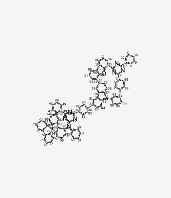 c1ccc(-c2nc(-c3ccccc3)nc(-c3cccc4c3oc3c(-c5ccc6c(c5)c5cc(-c7ccc(-c8nc(-c9ccccc9)nc(-n9c%10ccccc%10c%10ccc%11c(c%109)-c9ccccc9C%119c%10ccccc%10-c%10ccccc%109)n8)cc7)ccc5n6-c5ccccc5)cccc34)n2)cc1